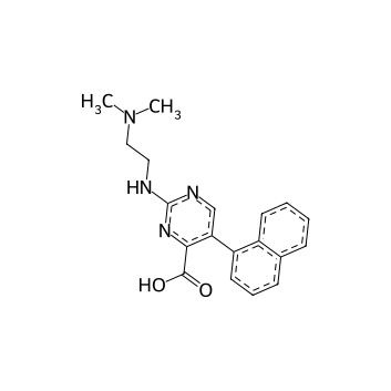 CN(C)CCNc1ncc(-c2cccc3ccccc23)c(C(=O)O)n1